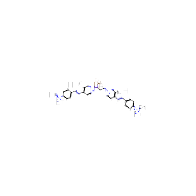 CCN(CC)c1ccc(/C=C/c2cc[n+](CCC[n+]3ccc(/C=C/c4ccc(N(CC)CC)cc4)c(C)c3)cc2C)cc1.[Br-].[Br-]